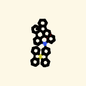 CC1(C)c2ccccc2-c2cccc(-c3c(-c4ccccc4)cccc3N(c3ccccc3)c3ccc4c(c3)S3(c5ccccc5-c5ccccc53)c3ccccc3-4)c21